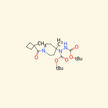 CC(C)(C)OC(=O)NN(C(=O)OC(C)(C)C)C1(C)CCN(C(=O)C2(C)CCC2)CC1